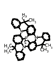 CC1(C)c2ccccc2N2c3ccc4c5c3P3(=S)c6c(ccc1c62)N1c2ccccc2C(C)(C)c2ccc(c3c21)N5c1ccccc1C4(C)C